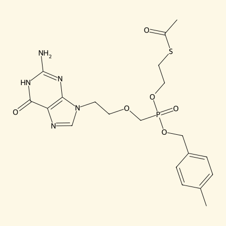 CC(=O)SCCOP(=O)(COCCn1cnc2c(=O)[nH]c(N)nc21)OCc1ccc(C)cc1